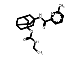 CCNC(=O)OC12CC3CC(CC(NC(=O)c4cccc(C)n4)(C3)C1)C2